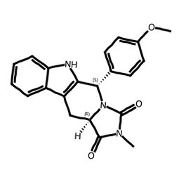 COc1ccc([C@H]2c3[nH]c4ccccc4c3C[C@@H]3C(=O)N(C)C(=O)N23)cc1